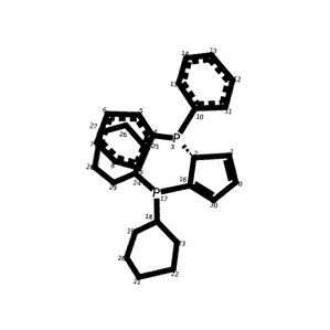 C1=C[C@@H](P(c2ccccc2)c2ccccc2)C(P(C2CCCCC2)C2CCCCC2)=C1